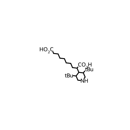 CC(C)(C)C1CNCC(C(C)(C)C)C1C(CCCCCCCC(=O)O)C(=O)O